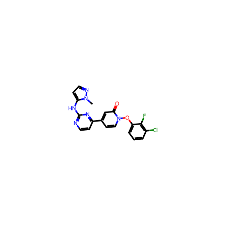 Cn1nccc1Nc1nccc(-c2ccn(Oc3cccc(Cl)c3F)c(=O)c2)n1